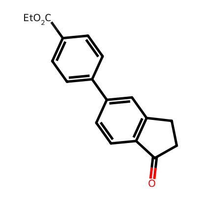 CCOC(=O)c1ccc(-c2ccc3c(c2)CCC3=O)cc1